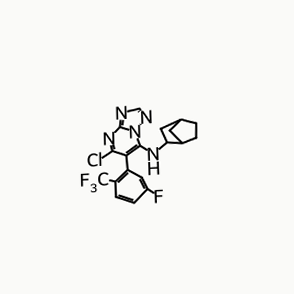 Fc1ccc(C(F)(F)F)c(-c2c(Cl)nc3ncnn3c2NC2CC3CCC2C3)c1